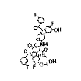 Cc1c(CC(=O)NC(C(=O)O)C(C(=O)NCCO)c2c(C)n(C(=O)c3cccc(F)c3)c3cc(F)c(O)cc23)c2cc(O)c(F)cc2n1C(=O)c1cccc(F)c1